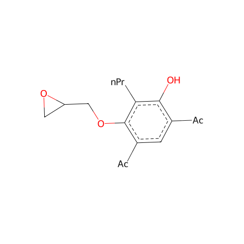 CCCc1c(O)c(C(C)=O)cc(C(C)=O)c1OCC1CO1